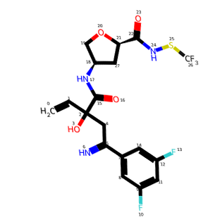 C=CC(O)(CC(=N)c1cc(F)cc(F)c1)C(=O)N[C@H]1CO[C@@H](C(=O)NSC(F)(F)F)C1